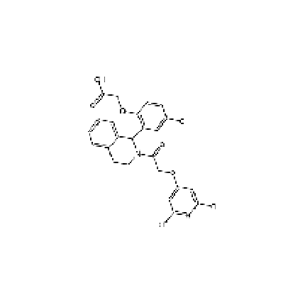 O=C(O)COc1ccc(Cl)cc1C1c2ccccc2CCN1C(=O)COc1cc(Cl)nc(Cl)c1